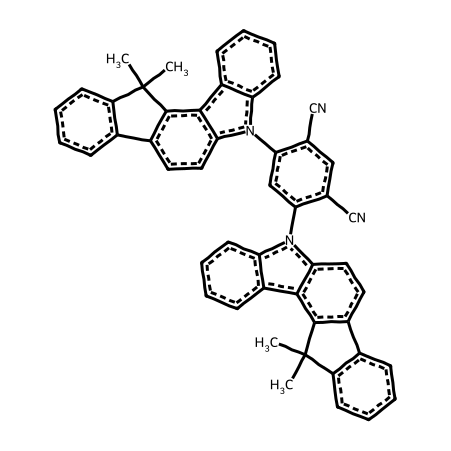 CC1(C)c2ccccc2-c2ccc3c(c21)c1ccccc1n3-c1cc(-n2c3ccccc3c3c4c(ccc32)-c2ccccc2C4(C)C)c(C#N)cc1C#N